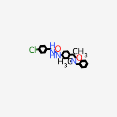 CC(C(=O)N(C)Cc1ccccc1)C1CCC(NC(=O)NCc2ccc(Cl)cc2)CC1